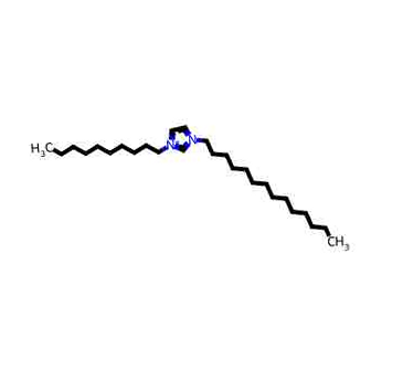 CCCCCCCCCCCCCCn1cc[n+](CCCCCCCCCC)c1